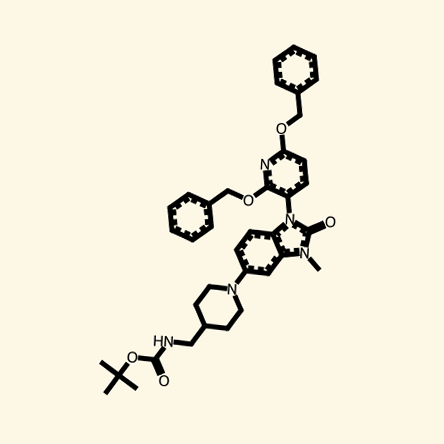 Cn1c(=O)n(-c2ccc(OCc3ccccc3)nc2OCc2ccccc2)c2ccc(N3CCC(CNC(=O)OC(C)(C)C)CC3)cc21